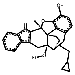 CCO[C@@]12Cc3c([nH]c4ccccc34)[C@]3(C)Oc4c(O)ccc5c4[C@@]31CCN(CC1CC1)C2C5